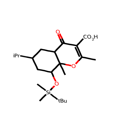 CC1=C(C(=O)O)C(=O)C2CC(C(C)C)CC(O[Si](C)(C)C(C)(C)C)C2(C)O1